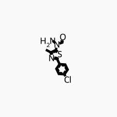 Cc1nc(-c2ccc(Cl)cc2)sc1N(N)C=O